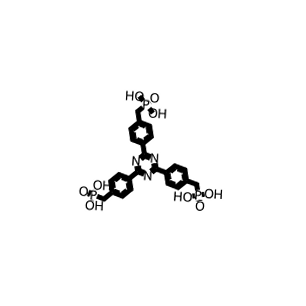 O=P(O)(O)Cc1ccc(-c2nc(-c3ccc(CP(=O)(O)O)cc3)nc(-c3ccc(CP(=O)(O)O)cc3)n2)cc1